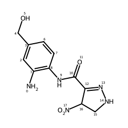 Nc1cc(CO)ccc1NC(=O)C1=NNCC1[N+](=O)[O-]